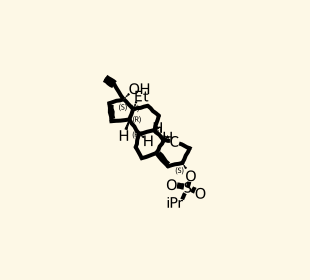 C#C[C@]1(O)C=C[C@H]2[C@@H]3CCC4=C[C@@H](OS(=O)(=O)C(C)C)CC[C@@H]4[C@H]3CC[C@@]21CC